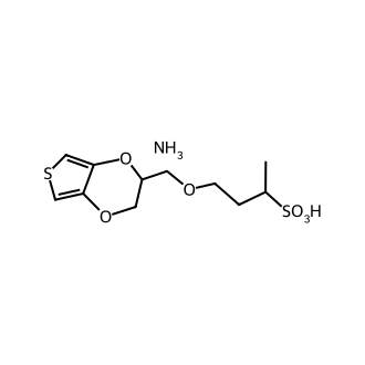 CC(CCOCC1COc2cscc2O1)S(=O)(=O)O.N